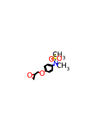 CN(c1ccc(OCC2CO2)cc1)S(C)(=O)=O